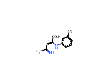 N#Cc1cccc(N/C(=C\C(=N)C(F)(F)F)C(=O)O)c1